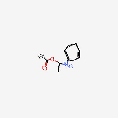 C[CH]C(=O)OC(C)Nc1ccccc1